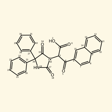 O=C(O)C(C(=O)c1ccc2ccccc2c1)N1C(=O)NC(c2ccccc2)(c2ccccc2)C1=O